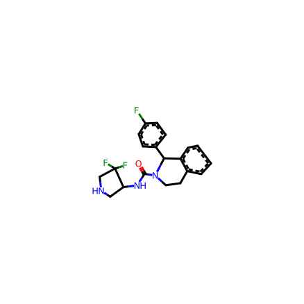 O=C(NC1CNCC1(F)F)N1CCc2ccccc2C1c1ccc(F)cc1